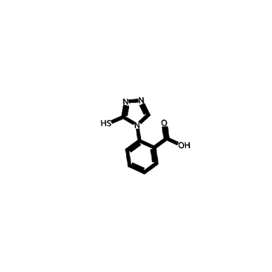 O=C(O)c1ccccc1-n1cnnc1S